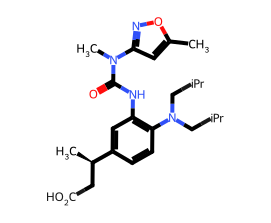 Cc1cc(N(C)C(=O)Nc2cc([C@H](C)CC(=O)O)ccc2N(CC(C)C)CC(C)C)no1